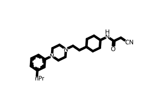 CCCc1cccc(N2CCN(CCC3CCC(NC(=O)CC#N)CC3)CC2)c1